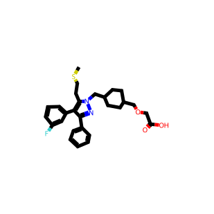 CSCCc1c(-c2cccc(F)c2)c(-c2ccccc2)nn1CC1CCC(COCC(=O)O)CC1